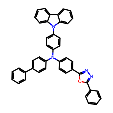 c1ccc(-c2ccc(N(c3ccc(-c4nnc(-c5ccccc5)o4)cc3)c3ccc(-n4c5ccccc5c5ccccc54)cc3)cc2)cc1